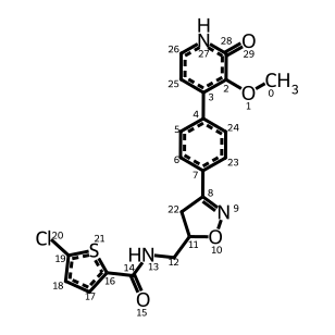 COc1c(-c2ccc(C3=NOC(CNC(=O)c4ccc(Cl)s4)C3)cc2)cc[nH]c1=O